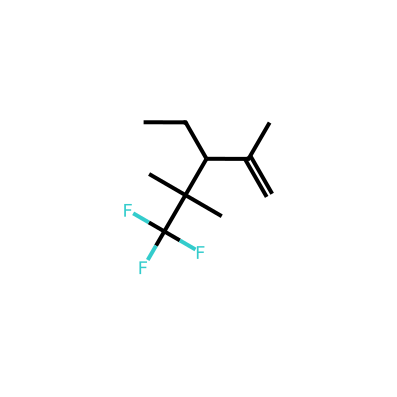 C=C(C)C(CC)C(C)(C)C(F)(F)F